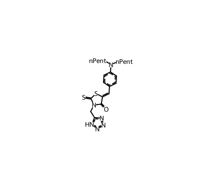 CCCCCN(CCCCC)c1ccc(/C=C2\SC(=S)N(Cc3nnn[nH]3)C2=O)cc1